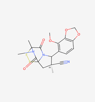 COc1c(C2N3C(=O)C4(C)SSC3(C[C@]2(C)C#N)C(=O)N4C)ccc2c1OCO2